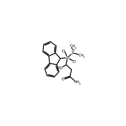 C[SiH](C)[Zr]([Cl])([Cl])([CH](O)CC(N)=O)[CH]1c2ccccc2-c2ccccc21